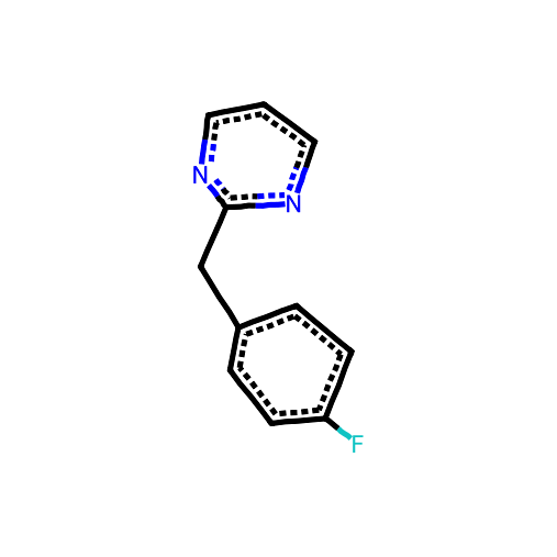 Fc1ccc(Cc2ncccn2)cc1